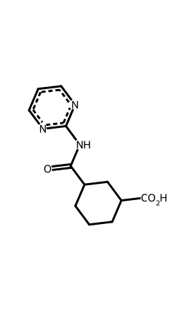 O=C(O)C1CCCC(C(=O)Nc2ncccn2)C1